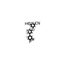 N#Cc1cc(Oc2cncc(-c3ccc(F)c(F)c3)c2)cc(O)n1